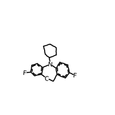 Fc1ccc2c(c1)CCc1cc(F)ccc1N2C1CCCCC1